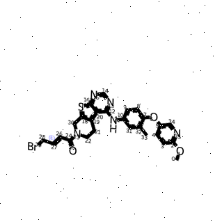 COc1ccc(Oc2ccc(Nc3ncnc4sc5c(c34)CCN(C(=O)/C=C/CBr)C5)cc2C)cn1